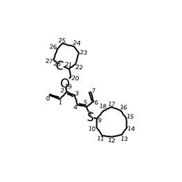 C=C/C(=C\C=C(/C=C)SC1CCCCCCCCC1)OCC1CCCCCCC1